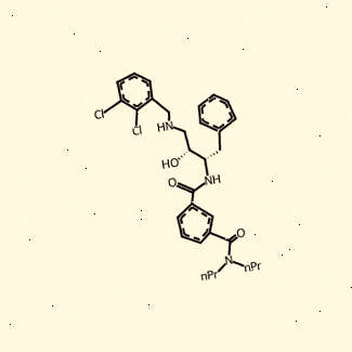 CCCN(CCC)C(=O)c1cccc(C(=O)N[C@@H](Cc2ccccc2)[C@H](O)CNCc2cccc(Cl)c2Cl)c1